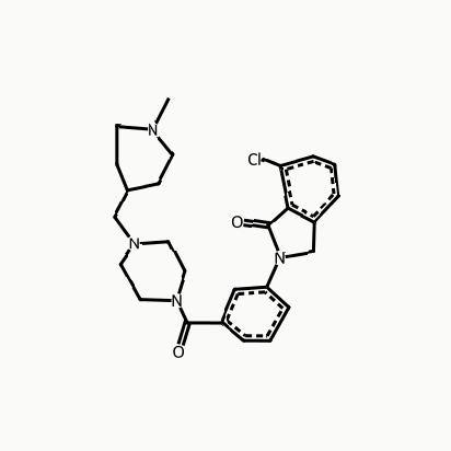 CN1CCC(CN2CCN(C(=O)c3cccc(N4Cc5cccc(Cl)c5C4=O)c3)CC2)CC1